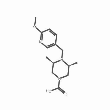 COc1ccc(CN2[C@H](C)CN(C(=O)O)C[C@@H]2C)cn1